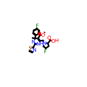 COC(=O)C1=C(CN2CC(F)CC2C(=O)O)NC(c2nccs2)=NC1(C)c1ccc(F)cc1